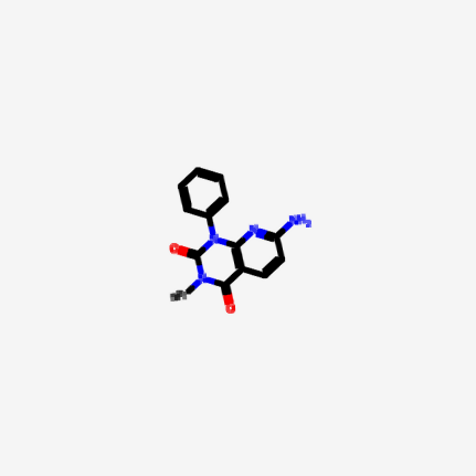 CCCn1c(=O)c2ccc(N)nc2n(-c2ccccc2)c1=O